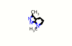 Cc1nnc2n(C)cccc1-2